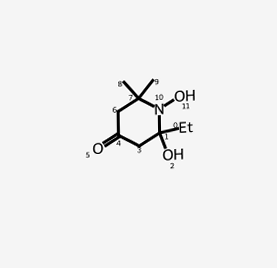 CCC1(O)CC(=O)CC(C)(C)N1O